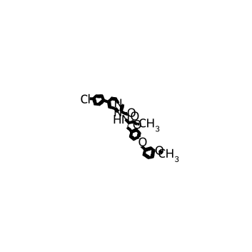 COC(=O)[C@H](Cc1ccc(OCc2cccc(OC)c2)cc1)NC(=O)c1cn2ccc(-c3ccc(Cl)cc3)cc2n1